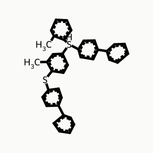 Cc1cc([SH](c2ccc(-c3ccccc3)cc2)c2ccccc2C)ccc1Sc1ccc(-c2ccccc2)cc1